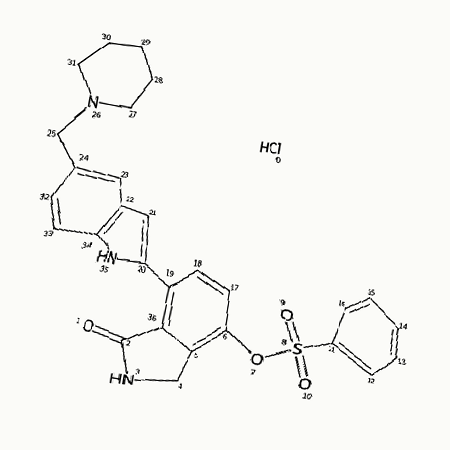 Cl.O=C1NCc2c(OS(=O)(=O)c3ccccc3)ccc(-c3cc4cc(CN5CCCCC5)ccc4[nH]3)c21